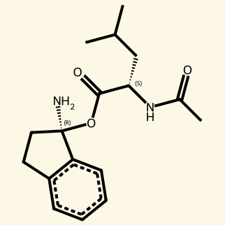 CC(=O)N[C@@H](CC(C)C)C(=O)O[C@]1(N)CCc2ccccc21